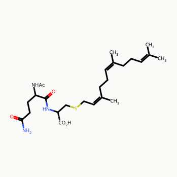 CC(=O)NC(CCC(N)=O)C(=O)NC(CSCC=C(C)CCC=C(C)CCC=C(C)C)C(=O)O